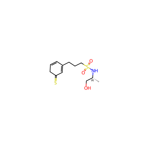 C[C@H](CO)NS(=O)(=O)CCCC1=CC(=S)CC=C1